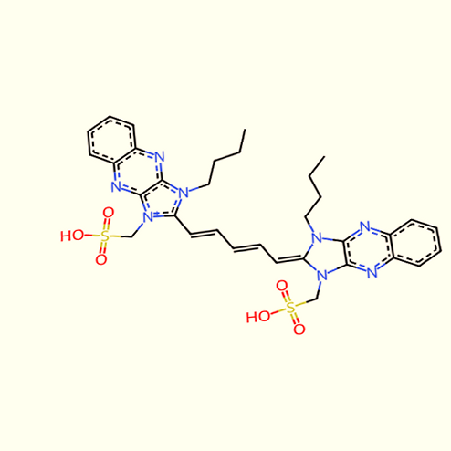 CCCCN1C(=CC=CC=Cc2n(CCCC)c3nc4ccccc4nc3[n+]2CS(=O)(=O)O)N(CS(=O)(=O)O)c2nc3ccccc3nc21